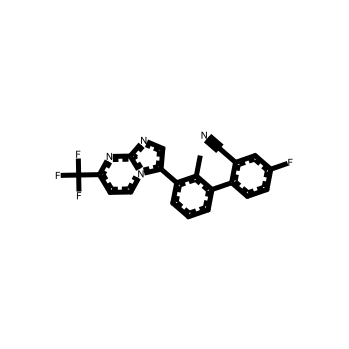 Cc1c(-c2ccc(F)cc2C#N)cccc1-c1cnc2nc(C(F)(F)F)ccn12